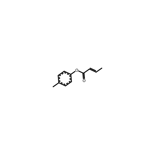 C/C=C/C(=O)Oc1ccc(C)cc1